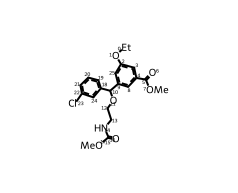 CCOc1cc(C(=O)OC)cc(C(OCCNC(=O)OC)c2cccc(Cl)c2)c1